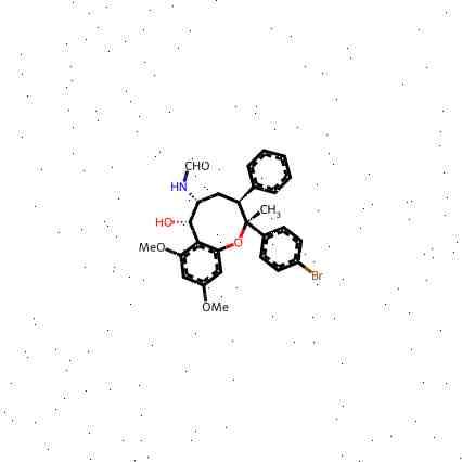 COc1cc(OC)c2c(c1)O[C@@](C)(c1ccc(Br)cc1)[C@H](c1ccccc1)C[C@@H](NC=O)[C@H]2O